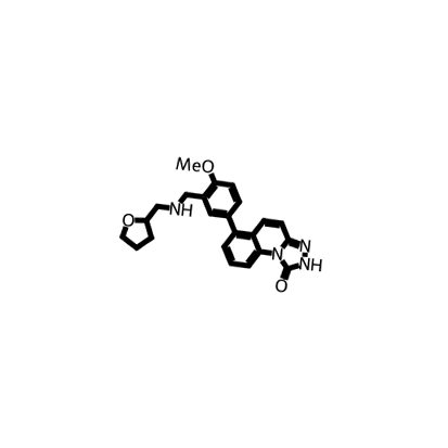 COc1ccc(-c2cccc3c2ccc2n[nH]c(=O)n23)cc1CNCC1CCCO1